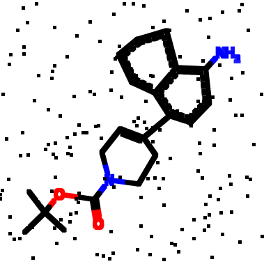 CC(C)(C)OC(=O)N1CC=C(c2ccc(N)c3ccccc23)CC1